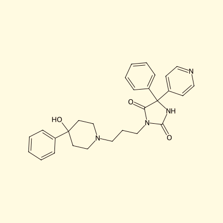 O=C1NC(c2ccccc2)(c2ccncc2)C(=O)N1CCCN1CCC(O)(c2ccccc2)CC1